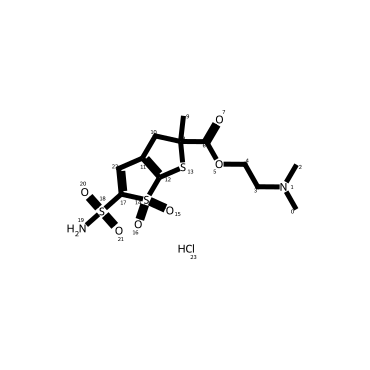 CN(C)CCOC(=O)C1(C)CC2=C(S1)S(=O)(=O)C(S(N)(=O)=O)=C2.Cl